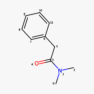 CN(C)C(=O)Cc1cc[c]cc1